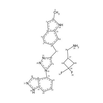 Cc1cc2ccc(Cc3cn(-c4cccc5[nH]ncc45)nn3)cc2[nH]1.NCC1CC(F)(F)C1